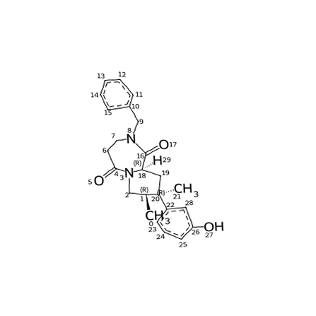 C[C@H]1CN2C(=O)CCN(Cc3ccccc3)C(=O)[C@H]2C[C@@]1(C)c1cccc(O)c1